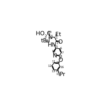 CC[C@H](C(=O)Nc1ccc(Oc2cccc(C(C)C)c2)nc1)N(C(=O)O)C(C)(C)C